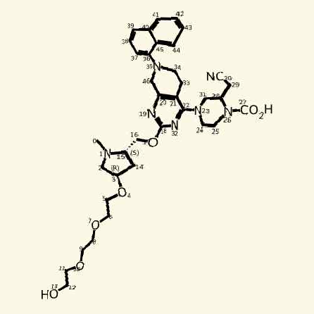 CN1C[C@H](OCCOCCOCCO)C[C@H]1COc1nc2c(c(N3CCN(C(=O)O)C(CC#N)C3)n1)CCN(c1cccc3ccccc13)C2